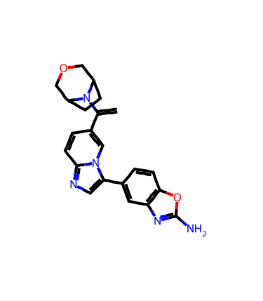 C=C(c1ccc2ncc(-c3ccc4oc(N)nc4c3)n2c1)N1C2CCC1COC2